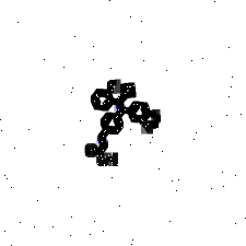 O=C(O)/C=C/c1ccc(/C(=C(\c2ccccc2Cl)C2CCC2)c2ccc3scnc3c2)cc1